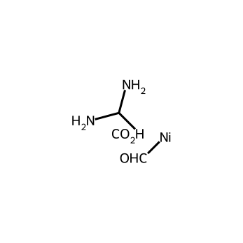 NC(N)C(=O)O.O=[CH][Ni]